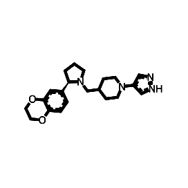 c1cc2c(cc1[C@H]1CCCN1CC1CCN(c3cn[nH]c3)CC1)OCCO2